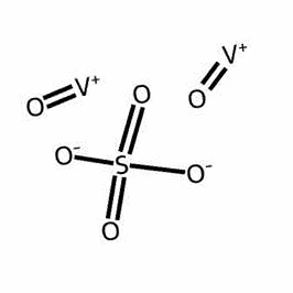 O=S(=O)([O-])[O-].[O]=[V+].[O]=[V+]